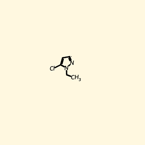 CCn1n[c]cc1Cl